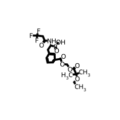 CCOC(C)(C)C(=O)OCOC(=O)c1cccc2c1OB(O)[C@@H](NC(=O)CC(F)(F)F)C2